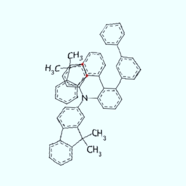 CC1(C)c2ccccc2-c2ccc(N(c3ccccc3)c3cccc(-c4cccc(-c5ccccc5)c4)c3-c3cccc4c3-c3ccccc3C4(C)C)cc21